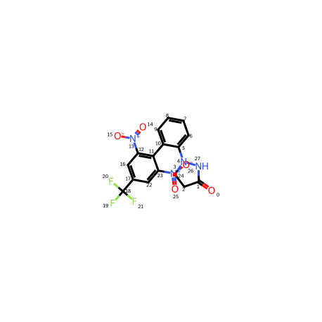 O=C1CCN(c2ccccc2-c2c([N+](=O)[O-])cc(C(F)(F)F)cc2[N+](=O)[O-])N1